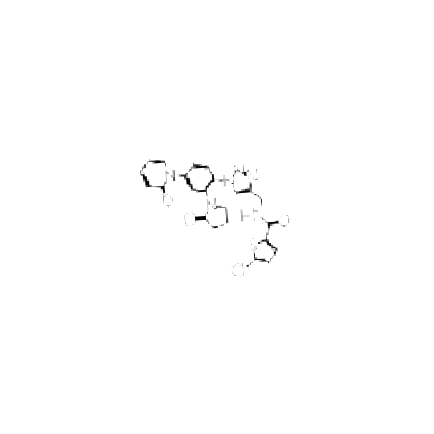 O=C(NCc1cn(-c2ccc(-n3ccccc3=O)cc2N2CCCC2=O)nn1)c1ccc(Cl)s1